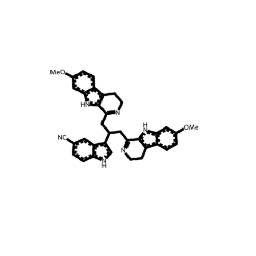 COc1ccc2c3c([nH]c2c1)C(CC(CC1=NCCc2c1[nH]c1cc(OC)ccc21)c1c[nH]c2ccc(C#N)cc12)=NCC3